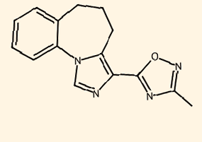 Cc1noc(-c2ncn3c2CCCc2ccccc2-3)n1